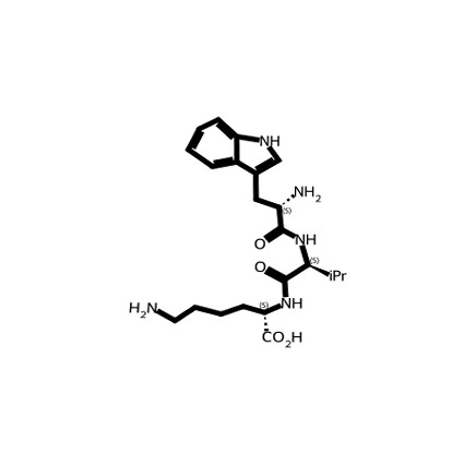 CC(C)[C@H](NC(=O)[C@@H](N)Cc1c[nH]c2ccccc12)C(=O)N[C@@H](CCCCN)C(=O)O